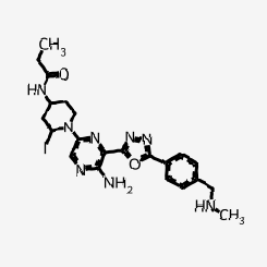 CCC(=O)NC1CCN(c2cnc(N)c(-c3nnc(-c4ccc(CNC)cc4)o3)n2)C(I)C1